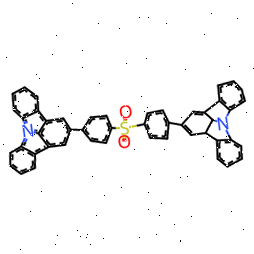 O=S(=O)(c1ccc(C2=CC3c4ccccc4N4c5ccccc5C(=C2)C34)cc1)c1ccc(-c2cc3c4ccccc4n4c5ccccc5c(c2)c34)cc1